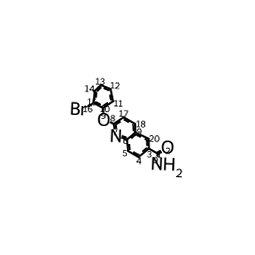 NC(=O)c1ccc2nc(Oc3ccccc3Br)ccc2c1